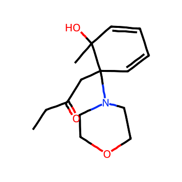 CCC(=O)CC1(N2CCOCC2)C=CC=CC1(C)O